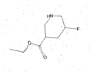 CCOC(=O)C1CNCC(F)C1